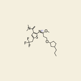 C=C(c1cc(CC(F)(F)F)sc1/N=C(\CCOC1CCC(CCC)C1)OC)N(C)C